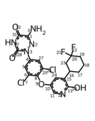 Nc1nn(-c2cc(Cl)c(Oc3cnc(O)c(C4CCCC(F)(F)C4)c3)c(Cl)c2)c(=O)[nH]c1=O